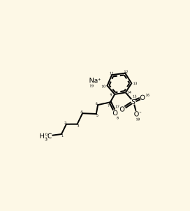 CCCCCCCC(=O)c1ccccc1S(=O)(=O)[O-].[Na+]